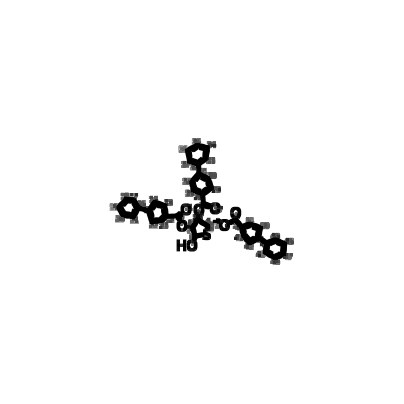 O=C(OC[C@@H]1SC(O)[C@H](OC(=O)c2ccc(-c3ccccc3)cc2)[C@H]1OC(=O)c1ccc(-c2ccccc2)cc1)c1ccc(-c2ccccc2)cc1